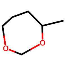 CC1CCCOCO1